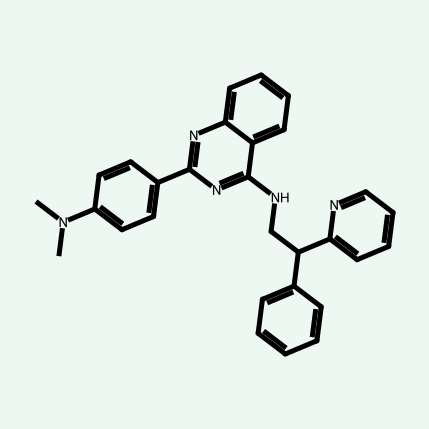 CN(C)c1ccc(-c2nc(NCC(c3ccccc3)c3ccccn3)c3ccccc3n2)cc1